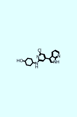 OC1CCC(Nc2cc(-c3c[nH]c4ncccc34)cc(Cl)n2)CC1